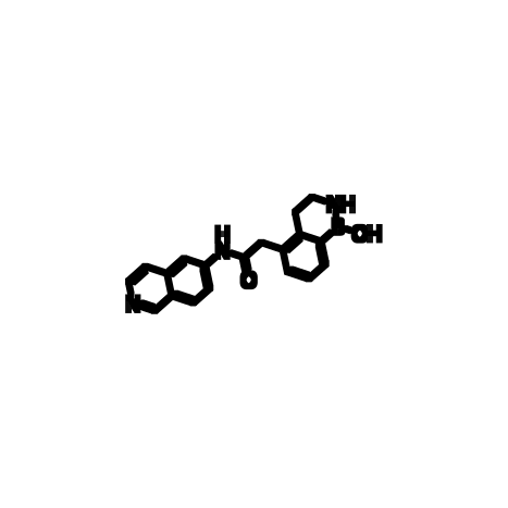 O=C(Cc1cccc2c1CCNB2O)Nc1ccc2cnccc2c1